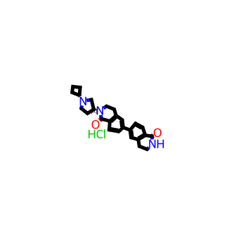 Cl.O=C1NCCc2cc(-c3ccc4c(c3)CCN([C@@H]3CCN(C5CCC5)C3)C4=O)ccc21